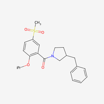 CC(C)Oc1ccc(S(C)(=O)=O)cc1C(=O)N1CCC(Cc2ccccc2)C1